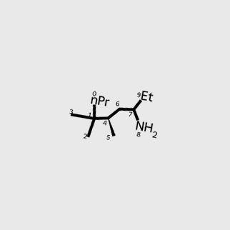 CCCC(C)(C)[C@H](C)CC(N)CC